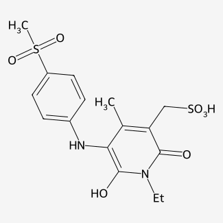 CCn1c(O)c(Nc2ccc(S(C)(=O)=O)cc2)c(C)c(CS(=O)(=O)O)c1=O